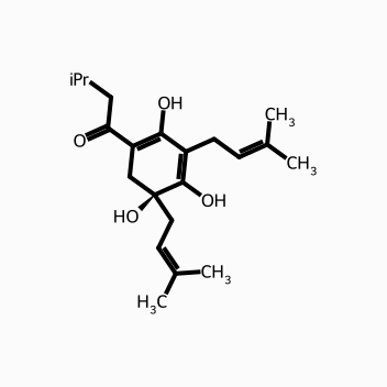 CC(C)=CCC1=C(O)[C@](O)(CC=C(C)C)CC(C(=O)CC(C)C)=C1O